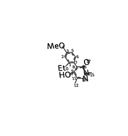 CCc1cc(OC)ccc1-c1c(O)c(C)nn(C)c1=O